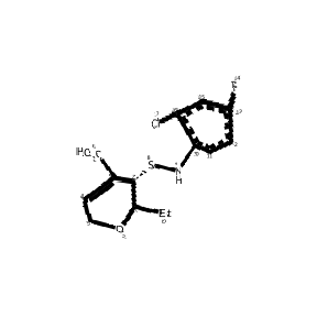 CCC1OCC=C(C(=O)O)[C@@H]1SNc1ccc(F)cc1Cl